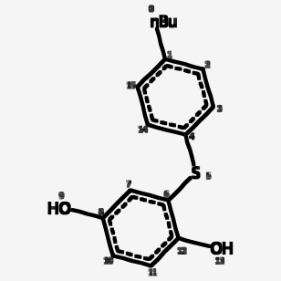 CCCCc1ccc(Sc2cc(O)ccc2O)cc1